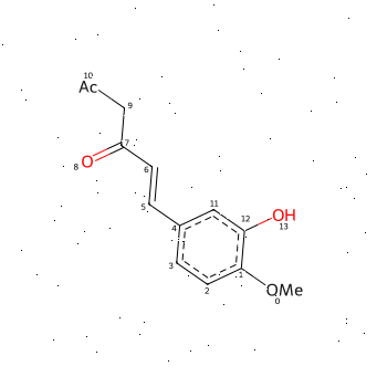 COc1ccc(C=CC(=O)CC(C)=O)cc1O